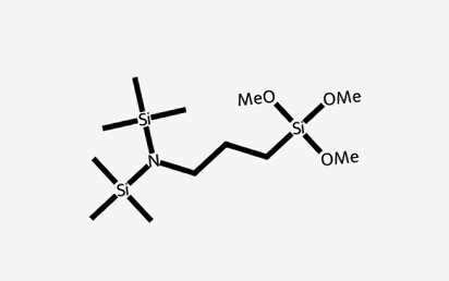 CO[Si](CCCN([Si](C)(C)C)[Si](C)(C)C)(OC)OC